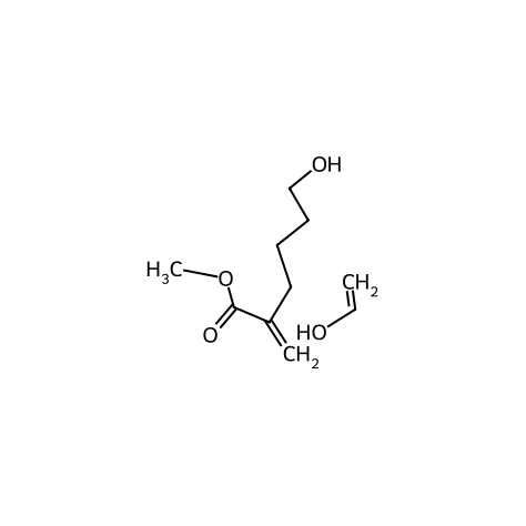 C=C(CCCCO)C(=O)OC.C=CO